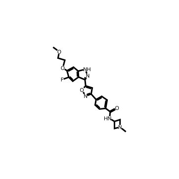 COCCOc1cc2[nH]nc(-c3cc(-c4ccc(C(=O)NC5CN(C)C5)cc4)no3)c2cc1F